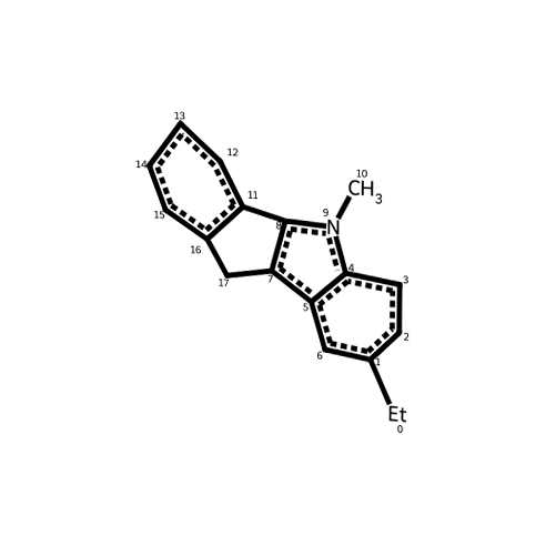 CCc1ccc2c(c1)c1c(n2C)-c2ccccc2C1